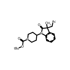 CC(=O)CC1(C)C(=O)N(C2CCN(C(=O)OC(C)(C)C)CC2)c2ccccc21